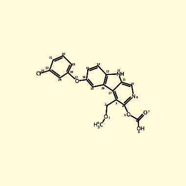 COCc1c(OC(=O)O)ncc2[nH]c3ccc(Oc4cccc(Cl)c4)cc3c12